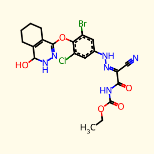 CCOC(=O)NC(=O)/C(C#N)=N/Nc1cc(Cl)c(OC2=NNC(O)C3=C2CCCC3)c(Br)c1